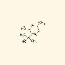 CC1CC=C(C(C)(C)O)C(O)C1